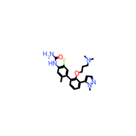 Cc1cc(NC(N)=O)c(F)cc1-c1cccc(-c2ccnn2C)c1OCCCN(C)C